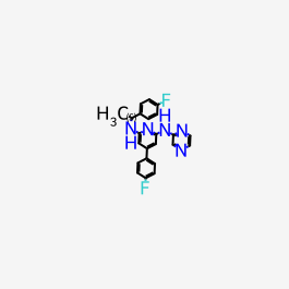 C[C@H](Nc1cc(-c2ccc(F)cc2)cc(Nc2cnccn2)n1)c1ccc(F)cc1